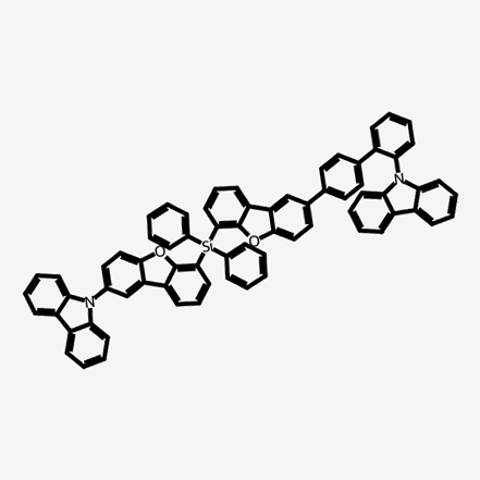 c1ccc([Si](c2ccccc2)(c2cccc3c2oc2ccc(-c4ccc(-c5ccccc5-n5c6ccccc6c6ccccc65)cc4)cc23)c2cccc3c2oc2ccc(-n4c5ccccc5c5ccccc54)cc23)cc1